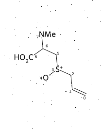 C=CC[S+]([O-])CC(NC)C(=O)O